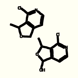 CC1OC(O)c2ccnc(Cl)c21.CC1OCc2ccnc(Cl)c21